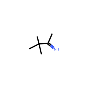 CC(=N)C(C)(C)C